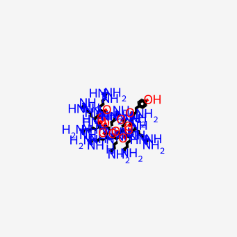 N=C(N)NCCC[C@H](NC(=O)[C@H](CCCNC(=N)N)NC(=O)[C@H](CCCNC(=N)N)NC(=O)[C@H](CCCNC(=N)N)NC(=O)[C@H](CCCNC(=N)N)NC(=O)[C@H](CCCCN)NC(=O)[C@H](CCC(N)=O)NC(=O)[C@H](CCCCN)NC(=O)[C@H](CCCNC(=N)N)NC(=O)CNC(=O)[C@@H](N)Cc1ccc(O)cc1)C(N)=O